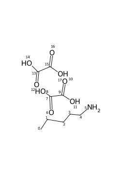 CCCCCN.O=C(O)C(=O)O.O=C(O)C(=O)O